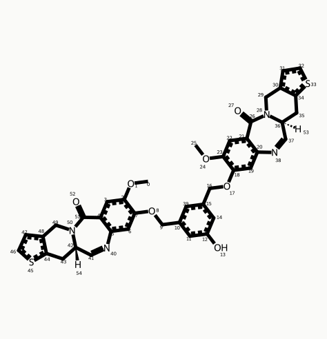 COc1cc2c(cc1OCc1cc(O)cc(COc3cc4c(cc3OC)C(=O)N3Cc5ccsc5C[C@H]3C=N4)c1)N=C[C@@H]1Cc3sccc3CN1C2=O